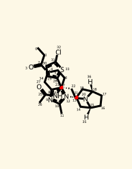 CCC(=O)N1CCc2c(nc(C)n2[C@H]2C[C@H]3CC[C@@H](C2)N3CC[C@H](NC(C)=O)c2ccc(Cl)s2)C1